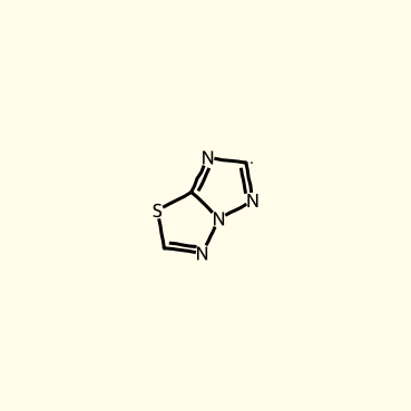 [c]1nc2scnn2n1